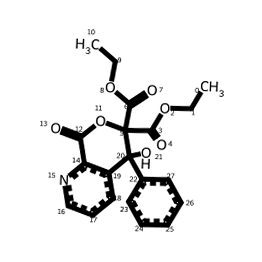 CCOC(=O)C1(C(=O)OCC)OC(=O)c2ncccc2C1(O)c1ccccc1